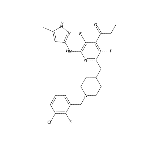 CCC(=O)c1c(F)c(CC2CCN(Cc3cccc(Cl)c3F)CC2)nc(Nc2cc(C)[nH]n2)c1F